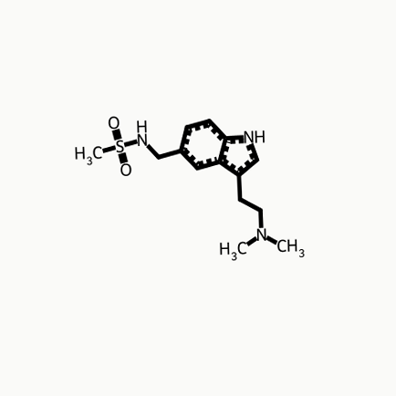 CN(C)CCc1c[nH]c2ccc(CNS(C)(=O)=O)cc12